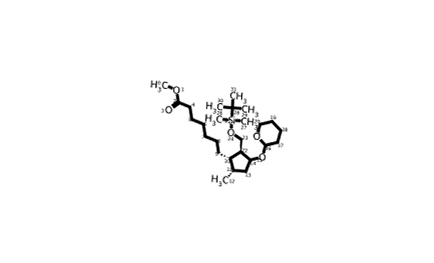 COC(=O)CCCCCC[C@H]1[C@@H](C)CC(OC2CCCCO2)[C@@H]1CO[Si](C)(C)C(C)(C)C